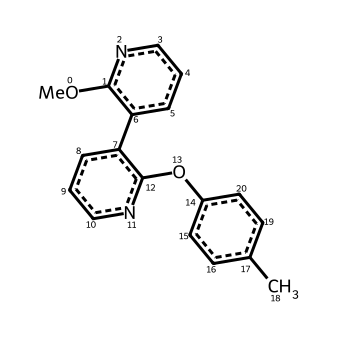 COc1ncccc1-c1cccnc1Oc1ccc(C)cc1